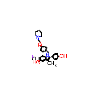 CI.Cc1c(-c2ccc(O)cc2)n(Cc2ccc(OCCN3CCCCC3)cc2)c2ccc(O)cc12